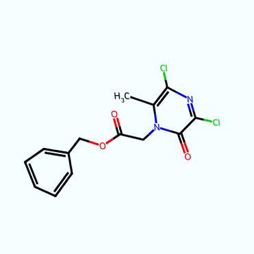 Cc1c(Cl)nc(Cl)c(=O)n1CC(=O)OCc1ccccc1